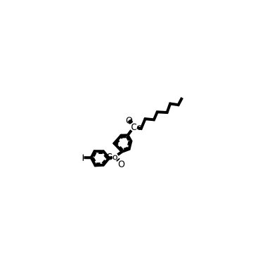 CCCCCCC[CH2][Co](=[O])[c]1cc[c]([Co](=[O])[c]2ccc(I)cc2)cc1